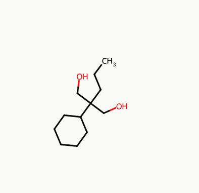 CCCC(CO)(CO)C1CCCCC1